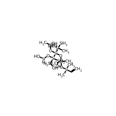 C=C[Si](C)(C)O[Si](C)(C)O[Si](O[SiH](C)O)([Si](C)([SiH3])OC)[Si](O[SiH2]O)([SiH2]O)[SiH2]O